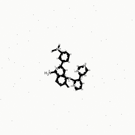 Cc1ccc2c(N)nc(-c3cccc(N(C)C)c3)cc2c1Nc1ncccc1-c1ccncn1